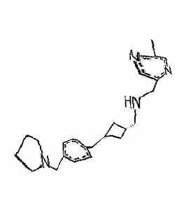 Cc1cnc(CNC[C@H]2C[C@H](c3ccc(CN4CCCC4)cc3)C2)cn1